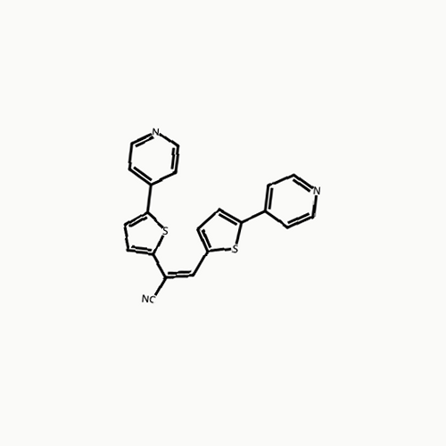 N#CC(=Cc1ccc(-c2ccncc2)s1)c1ccc(-c2ccncc2)s1